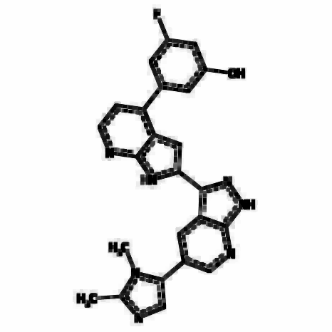 Cc1ncc(-c2cnc3[nH]nc(-c4cc5c(-c6cc(O)cc(F)c6)ccnc5[nH]4)c3c2)n1C